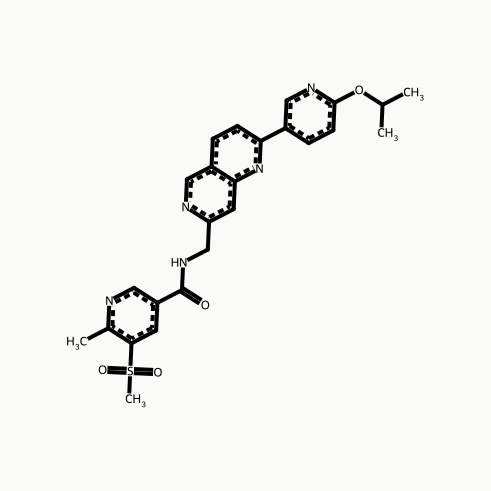 Cc1ncc(C(=O)NCc2cc3nc(-c4ccc(OC(C)C)nc4)ccc3cn2)cc1S(C)(=O)=O